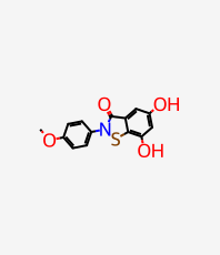 COc1ccc(-n2sc3c(O)cc(O)cc3c2=O)cc1